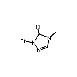 CCN1N=CN(C)C1Cl